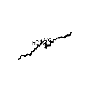 CCCCCCCCCCC(O)CC(C)OC(C)CC(O)CCCCCCCCCC